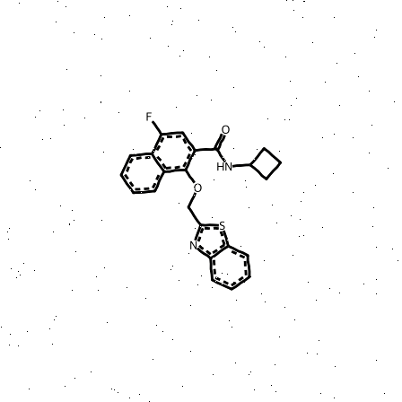 O=C(NC1CCC1)c1cc(F)c2ccccc2c1OCc1nc2ccccc2s1